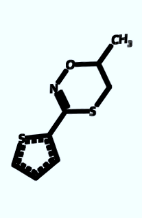 CC1CSC(c2cccs2)=NO1